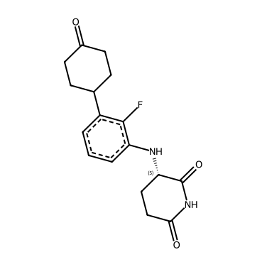 O=C1CCC(c2cccc(N[C@H]3CCC(=O)NC3=O)c2F)CC1